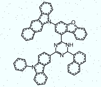 c1ccc(-n2c3ccccc3c3cc(C4=NC(c5cccc6ccccc56)NC(c5cc(-n6c7ccccc7c7cc8ccccc8cc76)cc6oc7ccccc7c56)=N4)ccc32)cc1